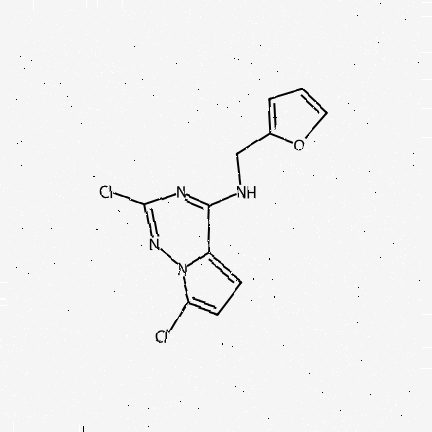 Clc1nc(NCc2ccco2)c2ccc(Cl)n2n1